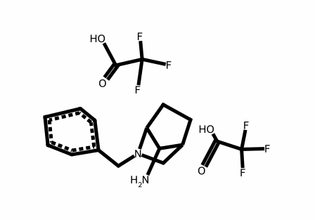 NC1C2CCC1N(Cc1ccccc1)C2.O=C(O)C(F)(F)F.O=C(O)C(F)(F)F